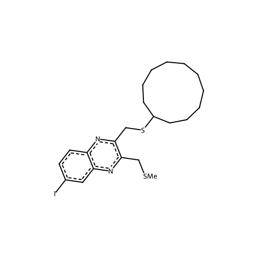 CSCc1nc2cc(I)ccc2nc1CSC1CCCCCCCCCC1